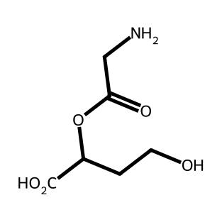 NCC(=O)OC(CCO)C(=O)O